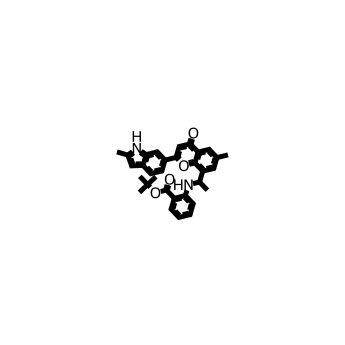 Cc1cc(C(C)Nc2ccccc2C(=O)OC(C)(C)C)c2oc(-c3ccc4cc(C)[nH]c4c3)cc(=O)c2c1